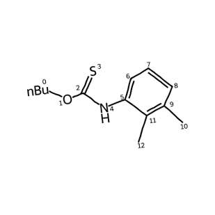 CCCCOC(=S)Nc1cccc(C)c1C